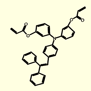 C=CC(=O)Oc1cccc(N(c2ccc(C=C(c3ccccc3)c3ccccc3)cc2)c2cccc(OC(=O)C=C)c2)c1